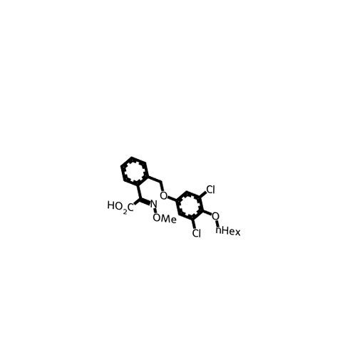 CCCCCCOc1c(Cl)cc(OCc2ccccc2C(=NOC)C(=O)O)cc1Cl